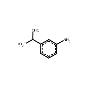 Nc1cccc(C(C=O)C(=O)O)c1